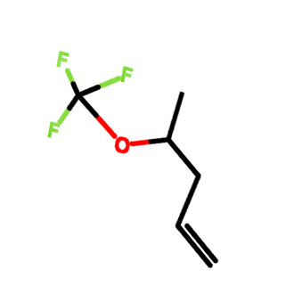 C=CCC(C)OC(F)(F)F